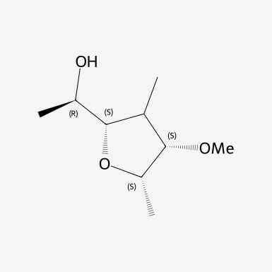 CO[C@H]1C(C)[C@@H]([C@@H](C)O)O[C@H]1C